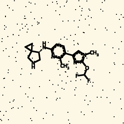 Cc1nc(N[C@@H]2CNCC23CC3)ccc1-c1cn(C)c(OC(F)F)n1